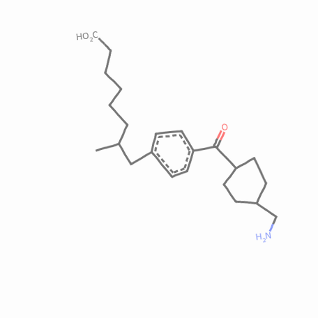 CC(CCCCCC(=O)O)Cc1ccc(C(=O)C2CCC(CN)CC2)cc1